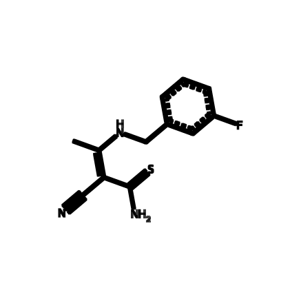 CC(NCc1cccc(F)c1)=C(C#N)C(N)=S